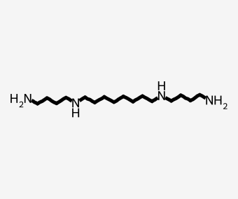 NCCCCNCCCCCCCCNCCCCN